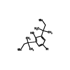 [CH2]Cc1cc(C(C)(C)CC(C)(C)C)c(O)c(C(C)(C)CC(C)(C)C)c1